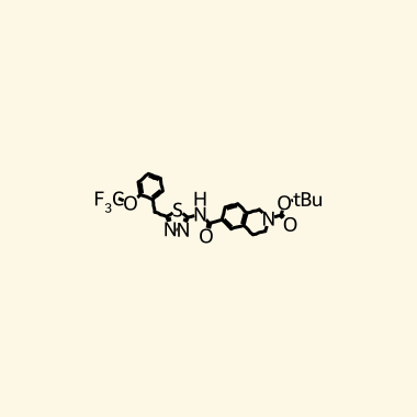 CC(C)(C)OC(=O)N1CCc2cc(C(=O)Nc3nnc(Cc4ccccc4OC(F)(F)F)s3)ccc2C1